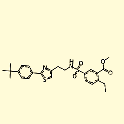 CCc1ccc(S(=O)(=O)NCCc2csc(-c3ccc(C(C)(C)C)cc3)n2)cc1C(=O)OC